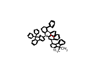 CC1(C)c2ccccc2-c2c(-c3cc(N(C4=CCCC(c5ccccc5)=C4c4ccccc4)c4ccc5c(c4)C(c4ccccc4)(c4ccccc4)c4ccccc4-5)cc4ccccc34)cccc21